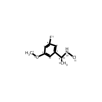 COc1cc(F)cc([C@H](C)NCl)c1